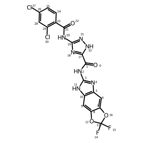 O=C(Nc1nc2cc3c(cc2[nH]1)OC(F)(F)O3)c1nc(NC(=O)c2ccc(Cl)cc2Cl)n[nH]1